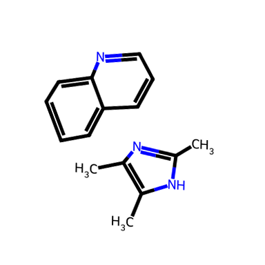 Cc1nc(C)c(C)[nH]1.c1ccc2ncccc2c1